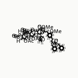 CC[C@H](C)C1O[C@H](O[C@H]2C([C@H]3COC(C)(C)O3)O[C@@](OCCc3ccc(CCN(Cc4ccccc4)C(=O)OCc4ccccc4)cc3OC)(C(=O)OC)C[C@H]2C)C(OC(C)=O)[C@@H](O[C@H]2O[C@@H]([C@@H](C)CC)[C@@H](PBB=O)C(C)C2OC(C)=O)[C@@H]1PBB=O